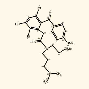 CCc1c(O)cc(O)c(C(=O)c2ccc(OC)cc2)c1CC(=O)N(CCCN(C)C)CCOC